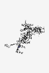 CCCCCCCCCCCCC/C=C/[C@@H](O)[C@H](CO[C@@H]1OC(CO)[C@@H](O[C@@H]2OC(CO)[C@H](O[C@@H]3OC(CO)[C@H](O)[C@H](O[C@@H]4OC(CO[C@@H]5OC(CO)[C@@H](O[C@@H]6OC(CO)[C@H](O)[C@H](O)C6O)[C@H](O)C5NC(C)=O)[C@H](O)[C@H](O[C@@H]5OC(CO)[C@H](O)[C@H](O)C5O)C4NC(C)=O)C3O)[C@H](O)C2O)[C@H](O)C1O)NC(=O)CCCCCCCCCCCCCCC